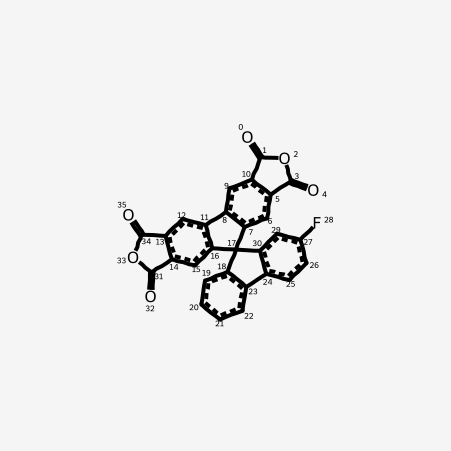 O=C1OC(=O)c2cc3c(cc21)-c1cc2c(cc1C31c3ccccc3-c3ccc(F)cc31)C(=O)OC2=O